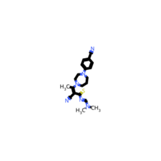 C/C(=C(\C#N)C(=S)/N=C/N(C)C)N1CCCN(c2ccc(C#N)cc2)CC1